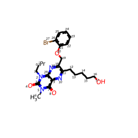 CC(C)Cn1c(=O)n(C)c(=O)c2nc(CCCCCO)c(COc3ccccc3Br)nc21